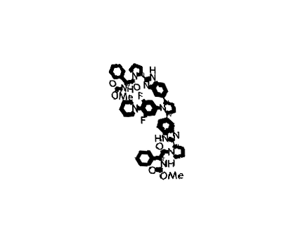 COC(=O)N[C@H](C(=O)N1CCC[C@H]1c1nc2cc([C@H]3CC[C@H](c4ccc5[nH]c([C@@H]6CCCN6C(=O)[C@@H](NC(=O)OC)C6CCCCC6)nc5c4)N3c3cc(F)c(N4CCCCC4)c(F)c3)ccc2[nH]1)C1CCCCC1